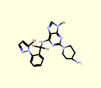 [2H]c1ccnn1-c1ccccc1C([2H])([2H])Nc1nc(N2CCC(N)CC2)nc2c1ncn2C(C)C